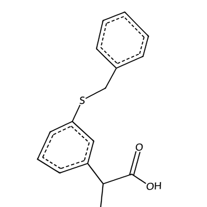 CC(C(=O)O)c1cccc(SCc2ccccc2)c1